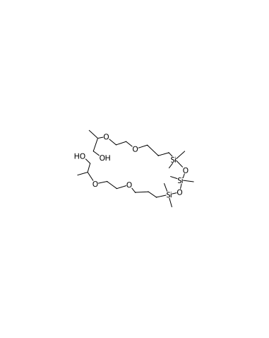 CC(CO)OCCOCCC[Si](C)(C)O[Si](C)(C)O[Si](C)(C)CCCOCCOC(C)CO